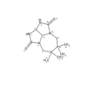 CC1(C)CN2C(=O)NC3NC(=O)N(CC1(C)C)C32